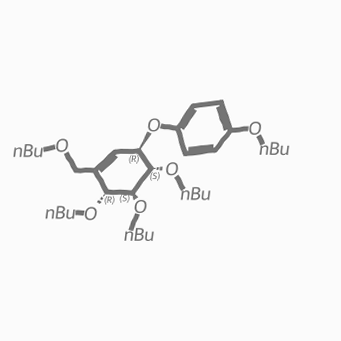 CCCCOCC1=C[C@@H](Oc2ccc(OCCCC)cc2)[C@H](OCCCC)[C@@H](OCCCC)[C@@H]1OCCCC